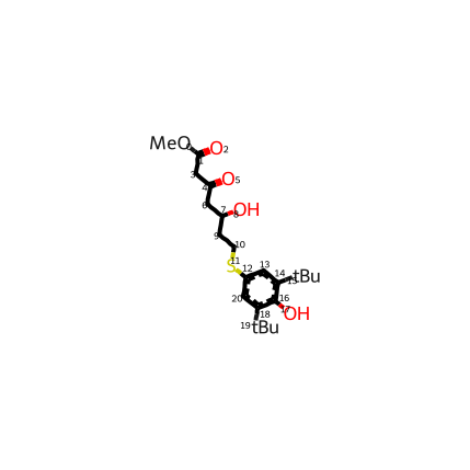 COC(=O)CC(=O)CC(O)CCSc1cc(C(C)(C)C)c(O)c(C(C)(C)C)c1